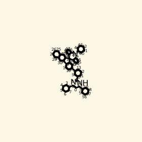 C1=C(c2ccccc2)N=C(c2cccc(-c3ccc4c(c3)C3(c5cc6ccccc6cc5-4)c4ccccc4N(c4ccccc4)c4ccccc43)c2)NC1c1ccccc1